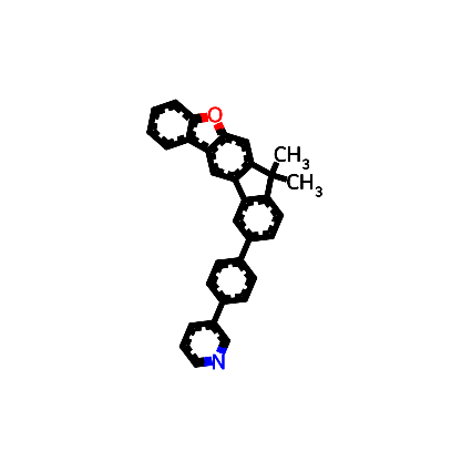 CC1(C)c2ccc(-c3ccc(-c4cccnc4)cc3)cc2-c2cc3c(cc21)oc1ccccc13